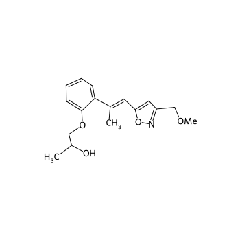 COCc1cc(C=C(C)c2ccccc2OCC(C)O)on1